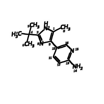 Cc1[nH]c(C(C)(C)C)nc1-c1ccc(N)nc1